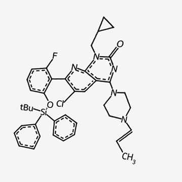 CC=CN1CCN(c2nc(=O)n(CC3CC3)c3nc(-c4c(F)cccc4O[Si](c4ccccc4)(c4ccccc4)C(C)(C)C)c(Cl)cc23)CC1